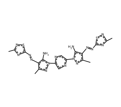 Cc1nsc(N=Nc2c(C)nn(-c3cnc(-n4nc(C)c(N=Nc5nc(C)ns5)c4N)cn3)c2N)n1